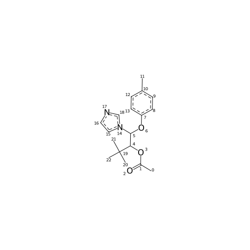 CC(=O)OC(C(Oc1ccc(C)cc1)n1ccnc1)C(C)(C)C